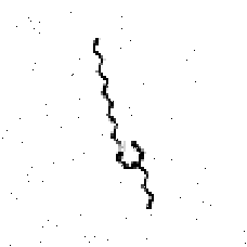 CCCCCCCCCC[n+]1ccc(CCCC)cc1